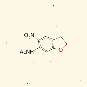 CC(=O)Nc1cc2c(cc1[N+](=O)[O-])CCO2